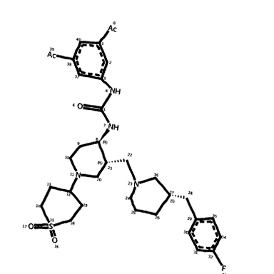 CC(=O)c1cc(NC(=O)N[C@@H]2CCN(C3CCS(=O)(=O)CC3)C[C@H]2CN2CCC[C@@H](Cc3ccc(F)cc3)C2)cc(C(C)=O)c1